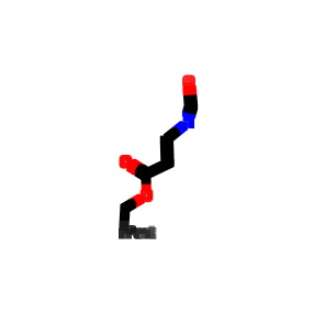 CCCCCCOC(=O)C=CN=C=O